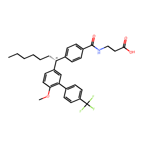 CCCCCC[C@H](c1ccc(C(=O)NCCC(=O)O)cc1)c1ccc(OC)c(-c2ccc(C(F)(F)F)cc2)c1